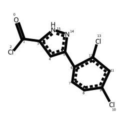 O=C(Cl)c1cc(-c2ccc(Cl)cc2Cl)n[nH]1